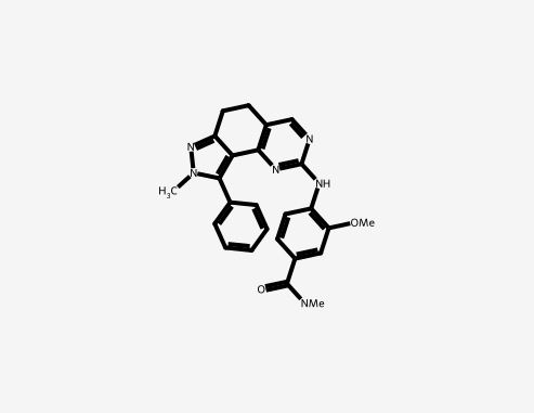 CNC(=O)c1ccc(Nc2ncc3c(n2)-c2c(nn(C)c2-c2ccccc2)CC3)c(OC)c1